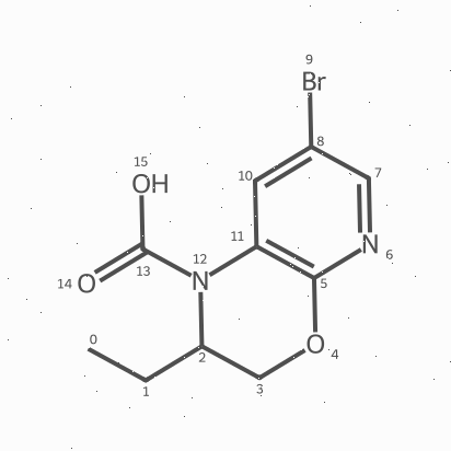 CCC1COc2ncc(Br)cc2N1C(=O)O